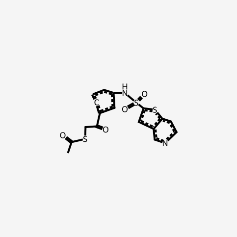 CC(=O)SCC(=O)c1cccc(NS(=O)(=O)c2cc3cnccc3s2)c1